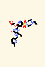 CCc1c2nc(-c3cc(S(=O)(=O)N4CCN(CC)CC4)cnc3OCCOC)[nH]c(=O)c2nn1Cc1cccc(C)n1